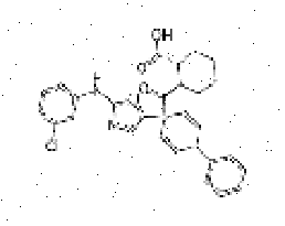 O=C(O)[C@@H]1CCCC[C@H]1C(=O)C1(c2cnc(Nc3cccc(Cl)c3)o2)C=CC(c2ccccc2)C=C1